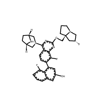 Oc1cc(-c2ccc3c(N4C[C@H]5CC[C@@H](C4)N5)nc(OC[C@@]45CCCN4C[C@H](F)C5)nc3c2F)c2c(F)cccc2c1